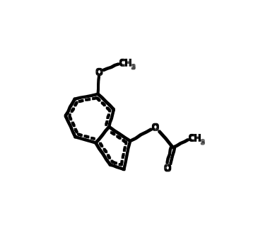 COc1cccc2ccc(OC(C)=O)c-2c1